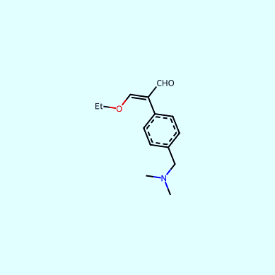 CCO/C=C(/C=O)c1ccc(CN(C)C)cc1